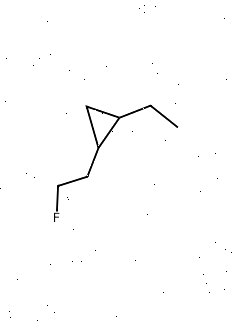 CCC1CC1CCF